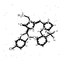 CCn1c(=O)/c(=C2\Sc3cc(Cl)ccc3N2C)s/c1=C\c1scc[n+]1Cc1ccccc1C(F)(F)F